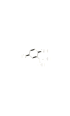 N=C1C=CC(=N)C(B(O)O)=C1